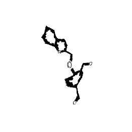 O=Cc1ccc(OCc2ccc3ccccc3n2)c(C=O)c1